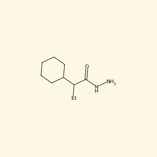 CCC(C(=O)NN)C1CCCCC1